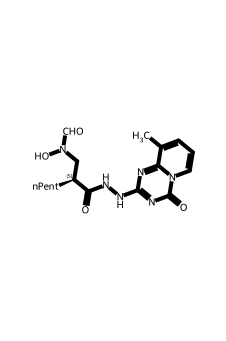 CCCCC[C@@H](CN(O)C=O)C(=O)NNc1nc(=O)n2cccc(C)c2n1